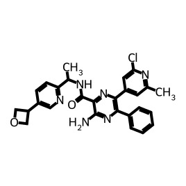 Cc1cc(-c2nc(C(=O)NC(C)c3ccc(C4COC4)cn3)c(N)nc2-c2ccccc2)cc(Cl)n1